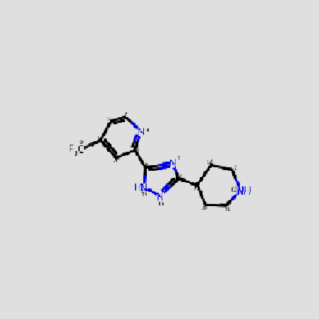 FC(F)(F)c1ccnc(-c2nc(C3CCNCC3)n[nH]2)c1